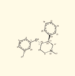 Cc1cccc(O[C@H]2CCN(C)C[C@@H]2c2ccccc2)c1